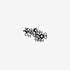 [2H]c1c2c(c([2H])c(C([2H])([2H])C(=O)c3sccc3S(=O)(=O)Nc3onc(C)c3Cl)c1C([2H])([2H])[2H])OCO2